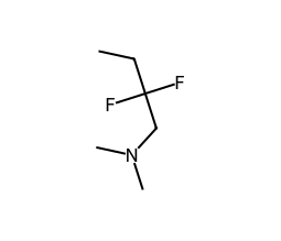 CCC(F)(F)CN(C)C